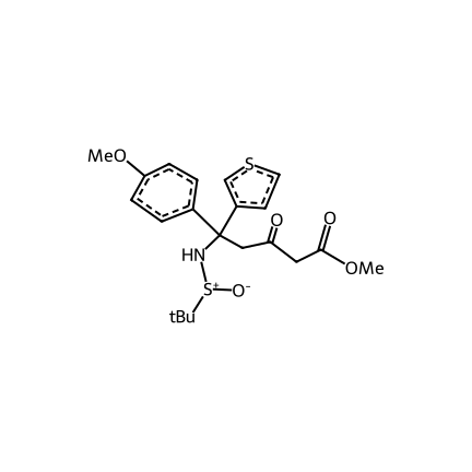 COC(=O)CC(=O)CC(N[S+]([O-])C(C)(C)C)(c1ccc(OC)cc1)c1ccsc1